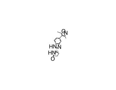 Cc1noc(C)c1-c1ccc2[nH]c([C@@H]3CCC(=O)N3)nc2c1